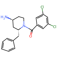 N[C@H]1CCN(C(=O)c2cc(Cl)cc(Cl)c2)[C@H](Cc2ccccc2)C1